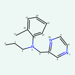 CCCN(Cc1cnccn1)c1ccccc1C